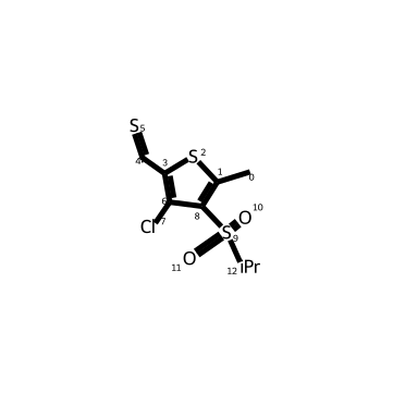 Cc1sc([C]=S)c(Cl)c1S(=O)(=O)C(C)C